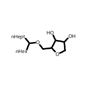 CCCCCCCC(CCCCCC)OCC1OCC(O)C1O